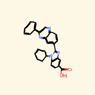 O=C(O)c1ccc2c(c1)nc(-c1ccc3ncc(-c4ccccc4)nc3c1)n2C1CCCCC1